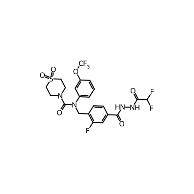 O=C(NNC(=O)C(F)F)c1ccc(CN(C(=O)N2CCS(=O)(=O)CC2)c2cccc(OC(F)(F)F)c2)c(F)c1